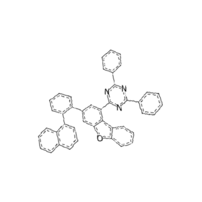 c1ccc(-c2nc(-c3ccccc3)nc(-c3cc(-c4ccccc4-c4cccc5ccccc45)cc4oc5ccccc5c34)n2)cc1